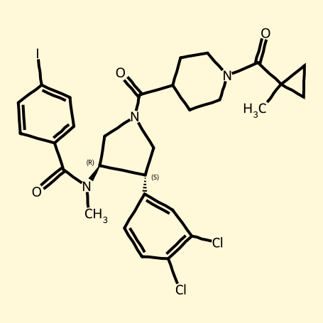 CN(C(=O)c1ccc(I)cc1)[C@H]1CN(C(=O)C2CCN(C(=O)C3(C)CC3)CC2)C[C@@H]1c1ccc(Cl)c(Cl)c1